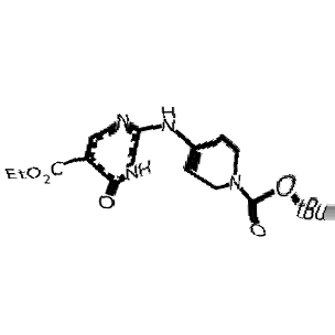 CCOC(=O)c1cnc(NC2=CCN(C(=O)OC(C)(C)C)CC2)[nH]c1=O